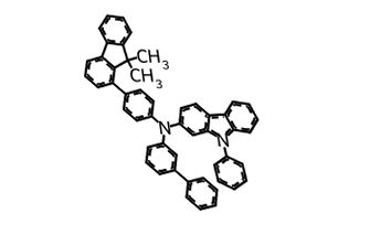 CC1(C)c2ccccc2-c2cccc(-c3ccc(N(c4cccc(-c5ccccc5)c4)c4ccc5c6ccccc6n(-c6ccccc6)c5c4)cc3)c21